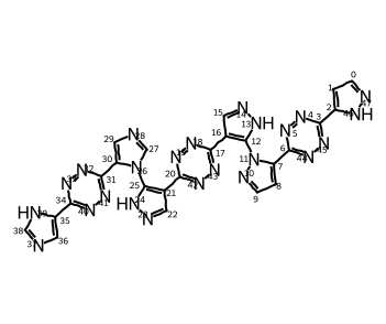 c1cc(-c2nnc(-c3ccnn3-c3[nH]ncc3-c3nnc(-c4cn[nH]c4-n4cncc4-c4nnc(-c5cnc[nH]5)nn4)nn3)nn2)[nH]n1